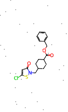 O=C(OCc1ccccc1)C1CCC(Cn2sc(Cl)cc2=O)CC1